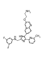 Cc1cccc(-c2nc(CNc3cc(F)cc(F)c3)[nH]c2-c2ccc3ncc(OCCN)cc3c2)n1